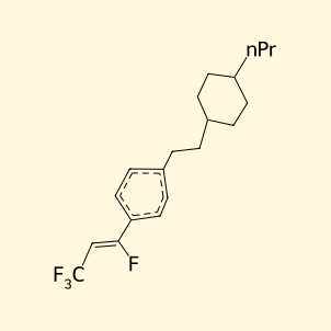 CCCC1CCC(CCc2ccc(/C(F)=C/C(F)(F)F)cc2)CC1